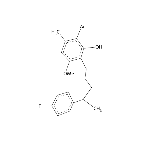 COc1cc(C)c(C(C)=O)c(O)c1CCCC(C)c1ccc(F)cc1